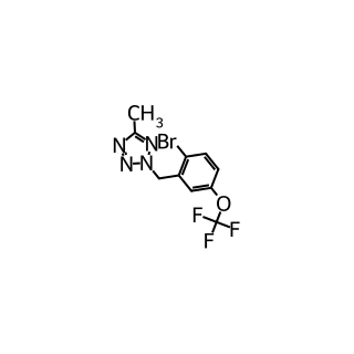 Cc1nnn(Cc2cc(OC(F)(F)F)ccc2Br)n1